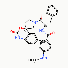 Cc1ccc2c(c1)[C@@]1(CCN(C(=O)[C@H](Cc3ccccc3)NC(=O)c3ccc(NC(=O)O)cc3)C1)OC(=O)N2